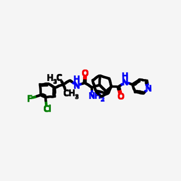 CC(C)(CNC(=O)C(N)C1C2CC3CC1C(C(=O)Nc1ccncc1)(C3)C2)c1ccc(F)c(Cl)c1